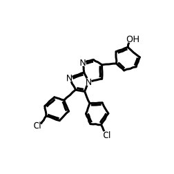 Oc1cccc(-c2cnc3nc(-c4ccc(Cl)cc4)c(-c4ccc(Cl)cc4)n3c2)c1